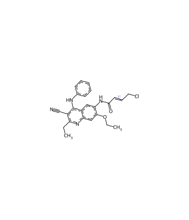 CCOc1cc2nc(CC)c(C#N)c(Nc3ccccc3)c2cc1NC(=O)/C=C/CCl